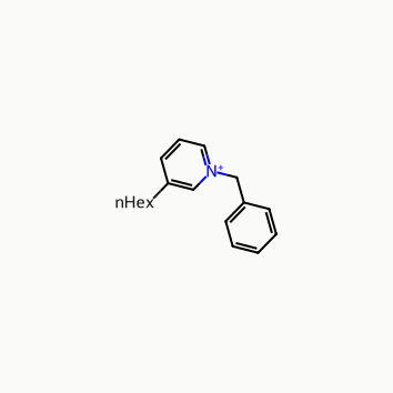 CCCCCCc1ccc[n+](Cc2ccccc2)c1